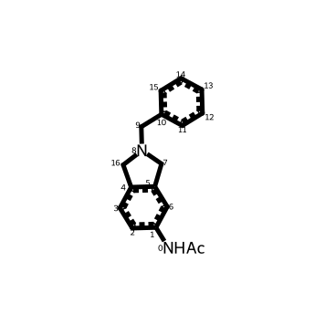 CC(=O)Nc1ccc2c(c1)CN(Cc1ccccc1)C2